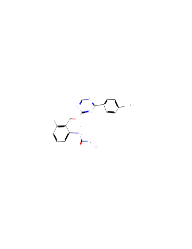 COc1ccc(-c2ncnc(OCc3c(C)cccc3N(N)C(=O)NN)n2)cc1